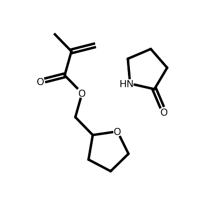 C=C(C)C(=O)OCC1CCCO1.O=C1CCCN1